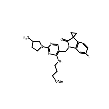 COCCCNc1nc(N2CCC(N)C2)ncc1CN1C(=O)C2(CC2)c2ccc(F)cc21